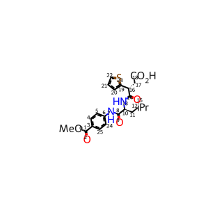 COC(=O)c1ccc(NC(=O)[C@H](CC(C)C)NC(=O)[C@@H](CC(=O)O)c2cccs2)cc1